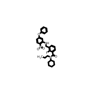 CCCN(C(=O)c1cccc(CNc2cc(Oc3ccccc3)ccc2[N+](=O)[O-])c1F)C1CCCCC1